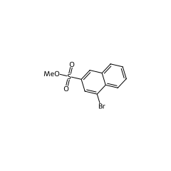 [CH2]OS(=O)(=O)c1cc(Br)c2ccccc2c1